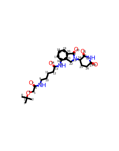 CC(C)(C)OCC(=O)NCCCCC(=O)Nc1cccc2c1CN(C1CCC(=O)NC1=O)C2=O